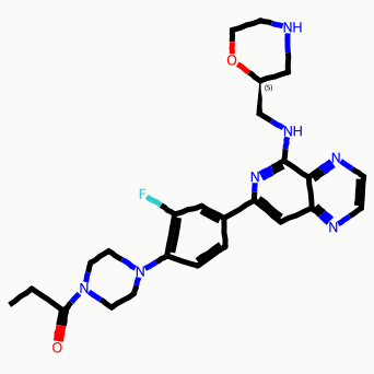 CCC(=O)N1CCN(c2ccc(-c3cc4nccnc4c(NC[C@@H]4CNCCO4)n3)cc2F)CC1